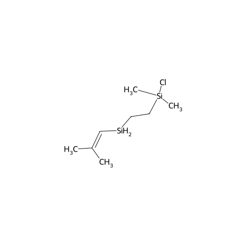 CC(C)=C[SiH2]CC[Si](C)(C)Cl